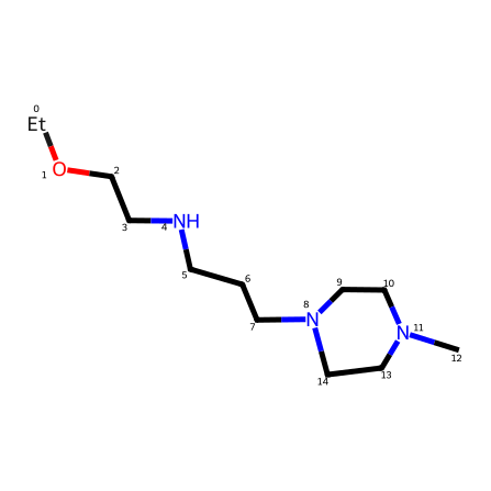 CCOCCNCCCN1CCN(C)CC1